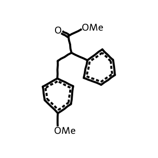 COC(=O)C(Cc1ccc(OC)cc1)c1ccccc1